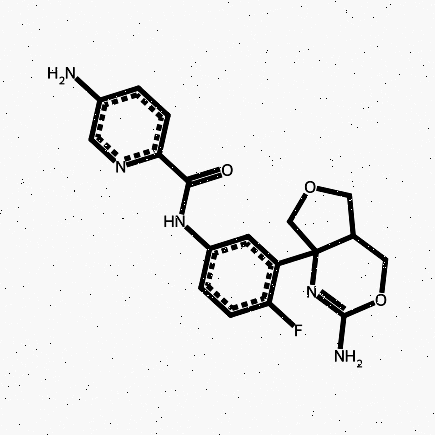 NC1=NC2(c3cc(NC(=O)c4ccc(N)cn4)ccc3F)COCC2CO1